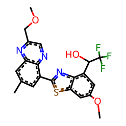 COCc1cnc2c(-c3nc4c(C(O)C(F)(F)F)cc(OC)cc4s3)cc(C)cc2n1